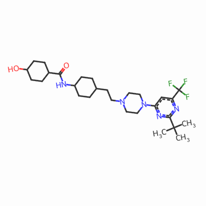 CC(C)(C)c1nc(N2CCN(CCC3CCC(NC(=O)C4CCC(O)CC4)CC3)CC2)cc(C(F)(F)F)n1